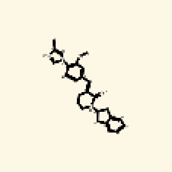 COc1cc(/C=C2\CCCN(C3Cc4ccccc4C3)C2=O)ccc1-n1cnc(C)c1